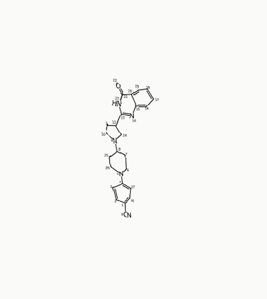 N#Cc1ccc(N2CCC(N3CCC(c4nc5ccccc5c(=O)[nH]4)C3)CC2)cc1